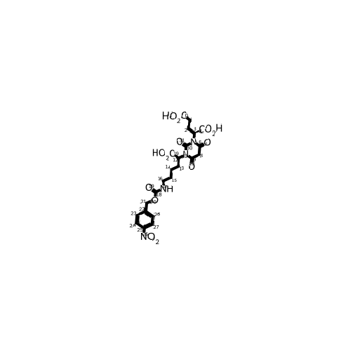 O=C(O)CC[C@@H](C(=O)O)N1C(=O)CC(=O)N(C(CCCCNC(=O)OCc2ccc([N+](=O)[O-])cc2)C(=O)O)C1=O